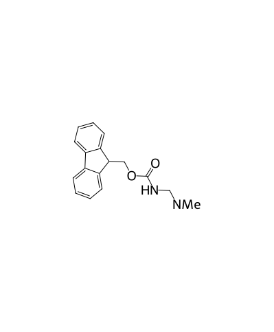 CNCNC(=O)OCC1c2ccccc2-c2ccccc21